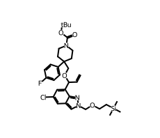 C=CC(OCC1(c2ccc(F)cc2)CCN(C(=O)OC(C)(C)C)CC1)c1cc(Cl)cc2cn(COCC[Si](C)(C)C)nc12